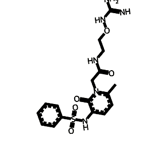 Cc1ccc(NS(=O)(=O)c2ccccc2)c(=O)n1CC(=O)NCCONC(=N)N